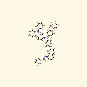 c1ccc(-c2nc3c(ccc4ccc(-c5ccc(N(c6ccc7c(c6)oc6ccccc67)c6ccc7c8ccccc8n(-c8ccccc8)c7c6)cc5)cc43)o2)cc1